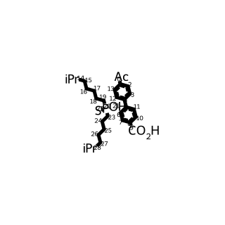 CC(=O)c1ccc(-c2ccc(C(=O)O)cc2)cc1.CC(C)CCCCCP(O)(=S)CCCCCC(C)C